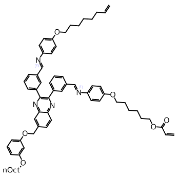 C=CCCCCCCOc1ccc(/N=C/c2cccc(-c3nc4cc(COc5cccc(OCCCCCCCC)c5)ccc4nc3-c3cccc(/C=N/c4ccc(OCCCCCCOC(=O)C=C)cc4)c3)c2)cc1